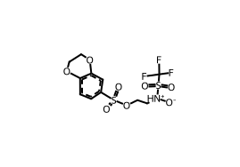 O=S(=O)(OCC[NH+]([O-])S(=O)(=O)C(F)(F)F)c1ccc2c(c1)OCCO2